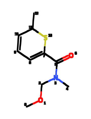 COCN(C)C(=O)C1=CC=CC(C)S1